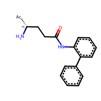 CC(=O)[C@@H](N)CCC(=O)Nc1ccccc1-c1ccccc1